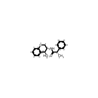 C[C@H](C(=O)N[C@H]1COc2ccccc2[C@@H]1O)c1ccccc1